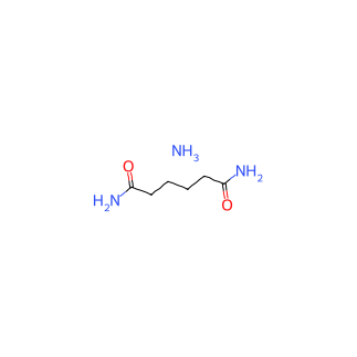 N.NC(=O)CCCCC(N)=O